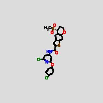 CS(=O)(=O)[C@@H]1CCOc2cc3sc(C(=O)Nc4cc(Cl)nc(Oc5ccc(Cl)cc5)c4)cc3cc21